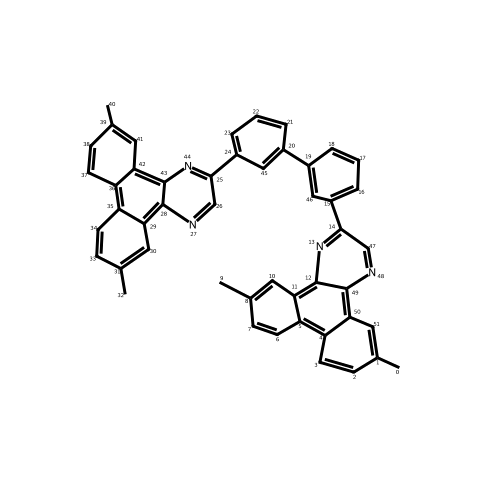 Cc1ccc2c3ccc(C)cc3c3nc(-c4cccc(-c5cccc(-c6cnc7c8cc(C)ccc8c8ccc(C)cc8c7n6)c5)c4)cnc3c2c1